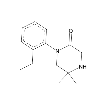 CCc1ccccc1N1CC(C)(C)NCC1=O